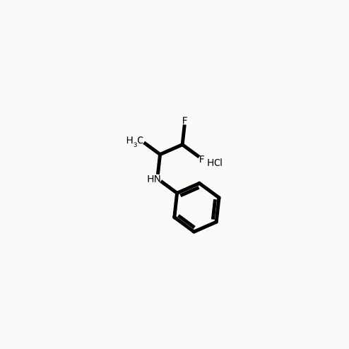 CC(Nc1ccccc1)C(F)F.Cl